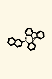 CN(c1ccc2ccccc2c1)c1ccccc1-n1c2ccccc2c2ccccc21